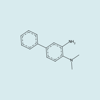 CN(C)c1ccc(-c2ccccc2)cc1N